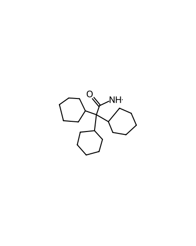 [NH]C(=O)C(C1CCCCC1)(C1CCCCC1)C1CCCCC1